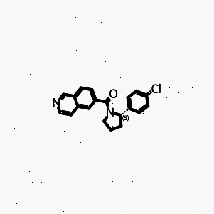 O=C(c1ccc2cnccc2c1)N1CCC[C@H]1c1ccc(Cl)cc1